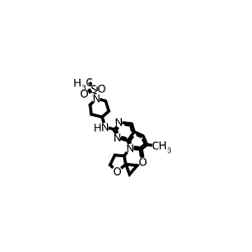 Cc1cc2cnc(NC3CCN(S(C)(=O)=O)CC3)nc2n(C2CCOC23CC3)c1=O